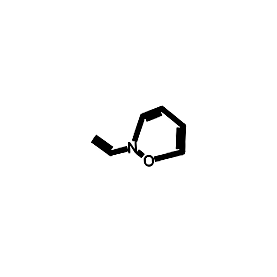 C=CN1C=CC=CO1